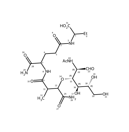 CCC(NC(=O)CCC(NC(=O)C(C)C(O[C@@H]([C@H](O)[C@H](O)CO)[C@H](C=O)NC(C)=O)C(N)=O)C(N)=O)C(=O)O